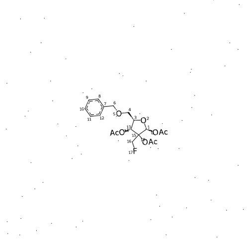 CC(=O)O[C@@H]1O[C@H](COCc2ccccc2)[C@H](OC(C)=O)C1(CF)OC(C)=O